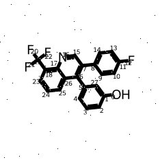 Oc1cccc(-c2c(-c3ccc(F)cc3)cnc3c(C(F)(F)F)cccc23)c1